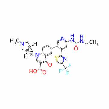 CCNC(=O)Nc1cc(-c2nc(C(F)(F)F)cs2)c(-c2ccc3c(c2)c(=O)c(C(=O)O)cn3[C@@H]2[C@@H]3CN(C)C[C@@H]32)cn1